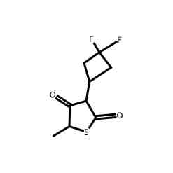 CC1SC(=O)C(C2CC(F)(F)C2)C1=O